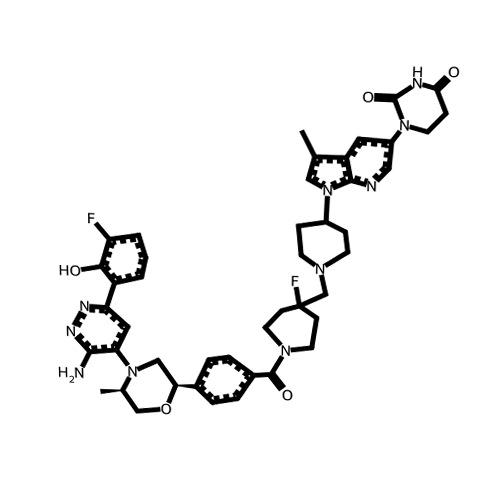 Cc1cn(C2CCN(CC3(F)CCN(C(=O)c4ccc([C@@H]5CN(c6cc(-c7cccc(F)c7O)nnc6N)[C@H](C)CO5)cc4)CC3)CC2)c2ncc(N3CCC(=O)NC3=O)cc12